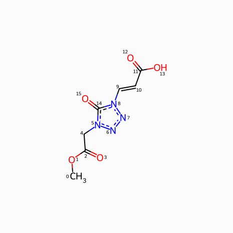 COC(=O)Cn1nnn(C=CC(=O)O)c1=O